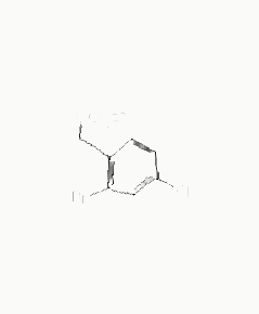 CCOC(=O)Cc1ccc(Cl)cc1Br